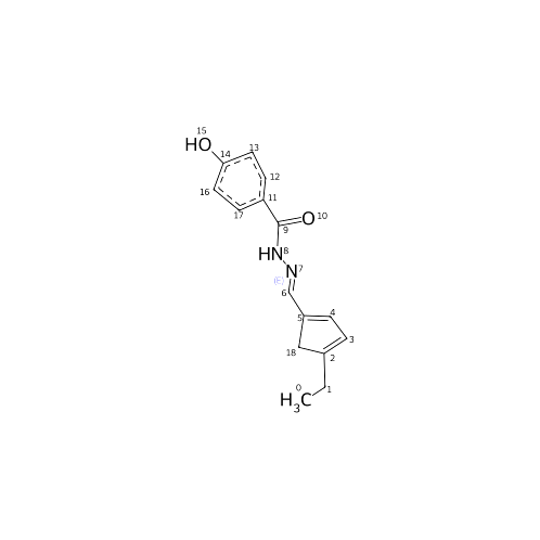 CCC1=CC=C(/C=N/NC(=O)c2ccc(O)cc2)C1